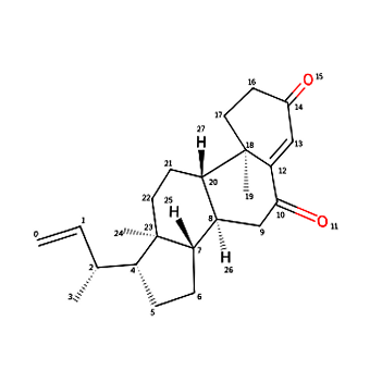 C=C[C@@H](C)[C@H]1CC[C@H]2[C@@H]3CC(=O)C4=CC(=O)CC[C@]4(C)[C@H]3CC[C@]12C